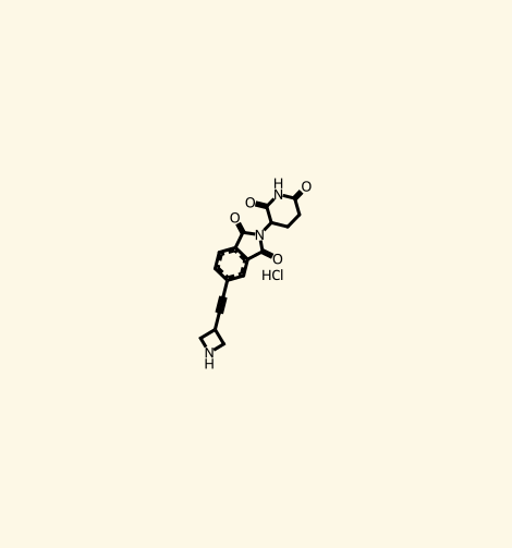 Cl.O=C1CCC(N2C(=O)c3ccc(C#CC4CNC4)cc3C2=O)C(=O)N1